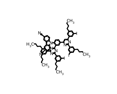 CCCCc1cc(I)cc(-c2cc(-c3ccc(-n4c5ccc(C#N)cc5c5cc(C#N)ccc54)c(-c4nc(-c5cc(I)cc(CCCC)c5)nc(-c5cc(CCCC)cc(CCCC)c5)n4)c3)nc(-c3cc(I)cc(CCCC)c3)n2)c1